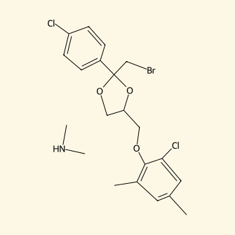 CNC.Cc1cc(C)c(OCC2COC(CBr)(c3ccc(Cl)cc3)O2)c(Cl)c1